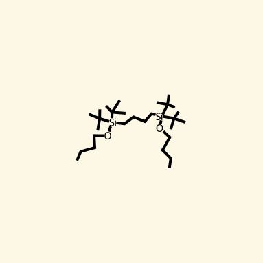 CCCCO[Si](CCCC[Si](OCCCC)(C(C)(C)C)C(C)(C)C)(C(C)(C)C)C(C)(C)C